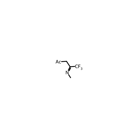 CN=C(CC(C)=O)C(F)(F)F